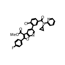 COC(=O)c1c(-c2ccc(F)cc2)oc2ncc(-c3cc(C(=O)N(c4ccccn4)C4CC4)ccc3Cl)cc12